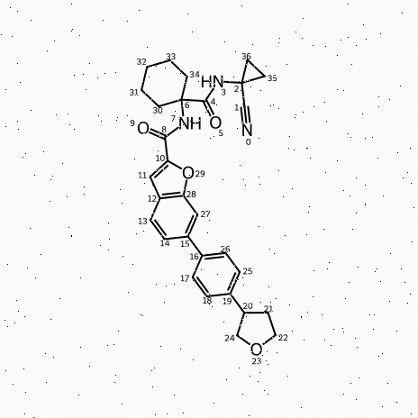 N#CC1(NC(=O)C2(NC(=O)c3cc4ccc(-c5ccc(C6CCOC6)cc5)cc4o3)CCCCC2)CC1